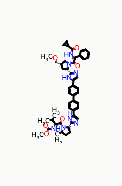 COC[C@H]1C[C@@H](c2ncc(-c3ccc(-c4ccc(-c5cnc([C@@H]6CCC(C)N6C(=O)[C@@H](NC(=O)OC)C(C)C)[nH]5)cc4)cc3)[nH]2)N(C(=O)[C@H](NC(=O)C2CC2)c2ccccc2)C1